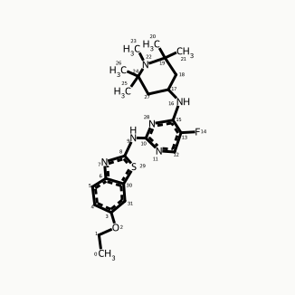 CCOc1ccc2nc(Nc3ncc(F)c(NC4CC(C)(C)N(C)C(C)(C)C4)n3)sc2c1